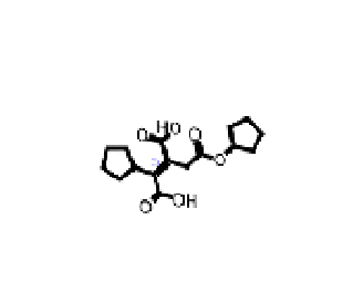 O=C(C/C(C(=O)O)=C(\C(=O)O)C1CCCC1)OC1CCCC1